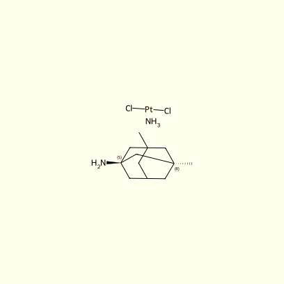 CC12CC3C[C@](C)(C1)C[C@](N)(C3)C2.N.[Cl][Pt][Cl]